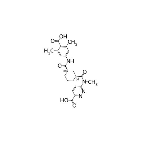 Cc1cc(NC(=O)[C@@H]2CCC[C@H](C(=O)N(C)c3ccc(C(=O)O)nn3)C2)cc(C)c1C(=O)O